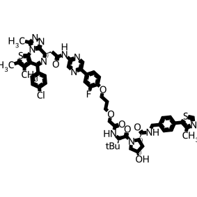 Cc1ncsc1-c1ccc(CNC(=O)[C@@H]2C[C@@H](O)CN2C(=O)[C@@H](NC(=O)COCCCOc2ccc(-c3cnc(NC(=O)C[C@@H]4N=C(c5ccc(Cl)cc5)c5c(sc(C)c5C)-n5c(C)nnc54)cn3)cc2F)C(C)(C)C)cc1